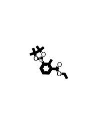 CCOC(=O)c1cccc(B2OC(C)(C)C(C)(C)O2)c1C